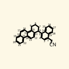 N#CCc1ccc(C2CCCc3c2ccc2c3ccc3ccccc32)c2ccccc12